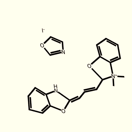 C[N+]1(C)c2ccccc2OC1C=CC=C1Nc2ccccc2O1.[I-].c1cocn1